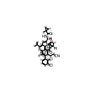 C=C(C)c1nc2c(F)c(-c3cccc(Cl)c3Cl)c(CCC#N)cc2c2c1cc([C@@H](C)NC(=O)C1(C)CC1)n2[C@H]1[C@@H]2C[C@H]1N(C(=O)OC(C)(C)C)C2